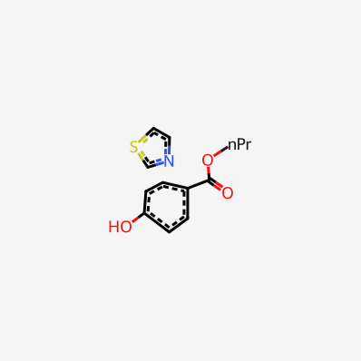 CCCOC(=O)c1ccc(O)cc1.c1cscn1